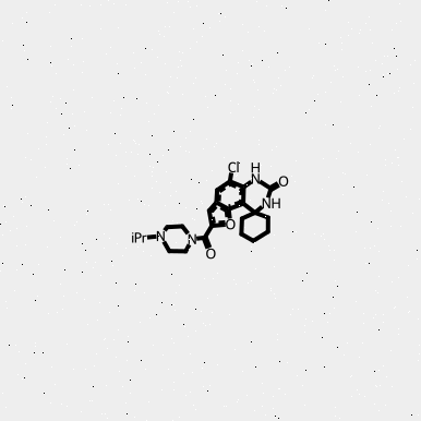 CC(C)N1CCN(C(=O)c2cc3cc(Cl)c4c(c3o2)C2(CCCCC2)NC(=O)N4)CC1